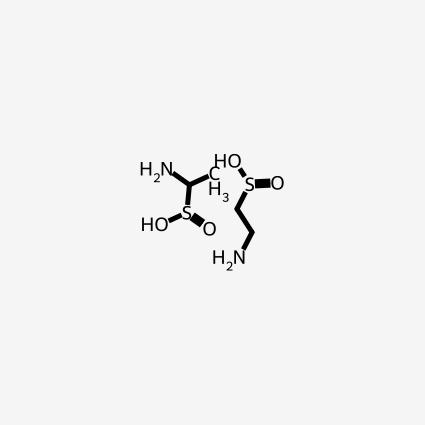 CC(N)S(=O)O.NCCS(=O)O